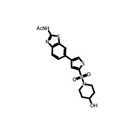 CC(=O)Nc1nc2ccc(-c3csc(S(=O)(=O)N4CCC(O)CC4)c3)cc2s1